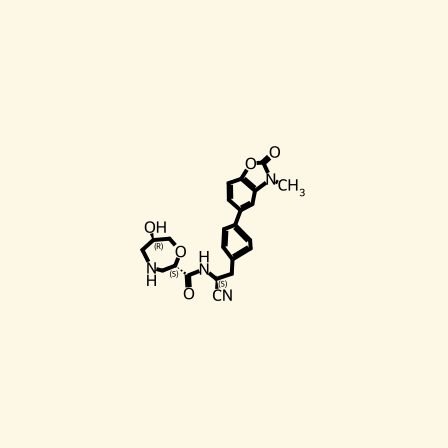 Cn1c(=O)oc2ccc(-c3ccc(C[C@@H](C#N)NC(=O)[C@@H]4CNC[C@@H](O)CO4)cc3)cc21